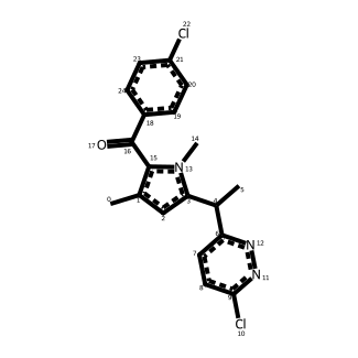 Cc1cc(C(C)c2ccc(Cl)nn2)n(C)c1C(=O)c1ccc(Cl)cc1